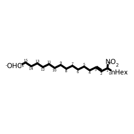 CCCCCCC(/C=C/CCCCCCCCCCCC[C]=O)[N+](=O)[O-]